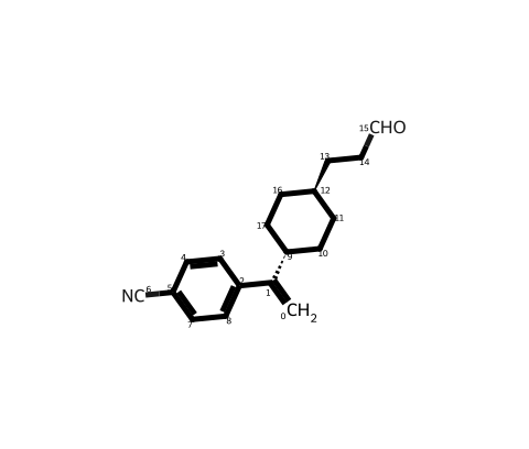 C=C(c1ccc(C#N)cc1)[C@H]1CC[C@H](CCC=O)CC1